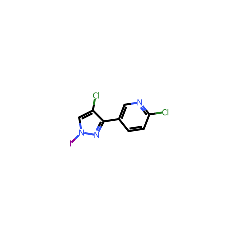 Clc1ccc(-c2nn(I)cc2Cl)cn1